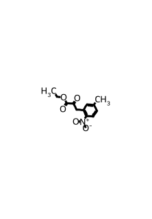 CCOC(=O)C(=O)Cc1cc(C)ccc1[N+](=O)[O-]